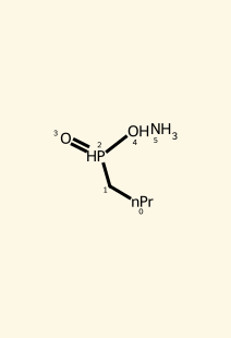 CCCC[PH](=O)O.N